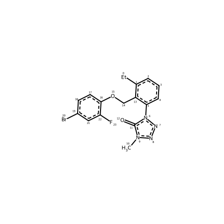 CCc1cccc(-n2nnn(C)c2=O)c1COc1ccc(Br)cc1F